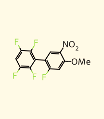 COc1cc(F)c(-c2c(F)c(F)cc(F)c2F)cc1[N+](=O)[O-]